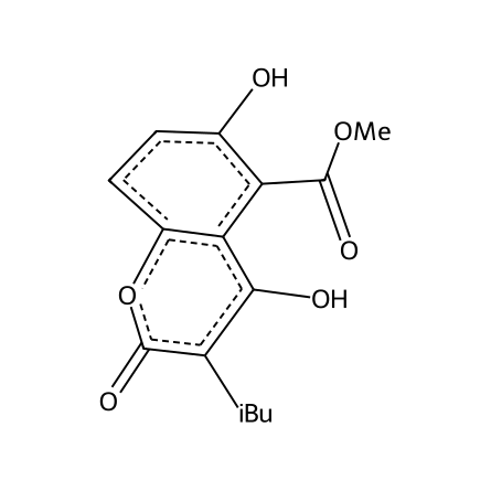 CCC(C)c1c(O)c2c(C(=O)OC)c(O)ccc2oc1=O